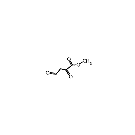 COC(=O)C(=O)CC=O